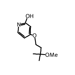 COC(C)(C)CCOc1ccnc(O)c1